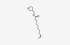 C/C=C\CCCCCCCC(=O)OCC1CCOC1